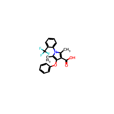 Cc1c(Oc2ccccc2)c(C(=O)O)c(C)n1-c1ccccc1C(F)(F)F